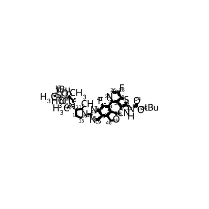 C[C@H]1[C@@H](N(C)CC(C)(C)O[Si](C)(C)C(C)(C)C)CCN1c1ncc2c3c(c(-c4ncc(F)c5sc(NC(=O)OC(C)(C)C)c(C#N)c45)c(F)c2n1)COC3